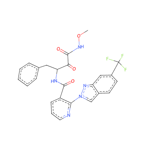 CONC(=O)C(=O)C(Cc1ccccc1)NC(=O)c1cccnc1-n1cc2ccc(C(F)(F)F)cc2n1